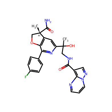 C[C@]1(C(N)=O)COc2c1cc(C(O)(CNC(=O)c1cnn3cccnc13)C(F)(F)F)nc2-c1ccc(F)cc1